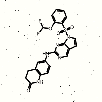 O=C1CCc2cc(Nc3ncc4ccn(S(=O)(=O)c5ccccc5OC(F)F)c4n3)ccc2N1